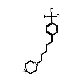 FC(F)(F)c1ccc(CCCCCN2CC[N]CC2)cc1